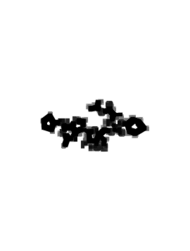 Cc1nc(NC2CCCC2)c2ncn([C@@H]3O[C@](CCl)(CO[P@@](=O)(N[C@@H](C)C(=O)OC(C)C)Oc4ccccc4)[C@@H](O)[C@@H]3F)c2n1